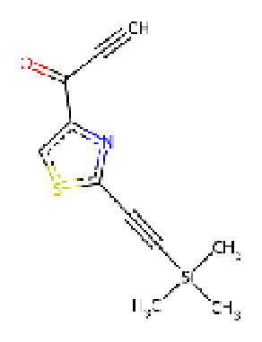 C#CC(=O)c1csc(C#C[Si](C)(C)C)n1